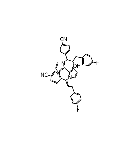 N#Cc1ccc(C(=CCc2ccc(F)cc2)n2ccnc2-c2nccn2C(c2ccc(C#N)cc2)C(O)Cc2ccc(F)cc2)cc1